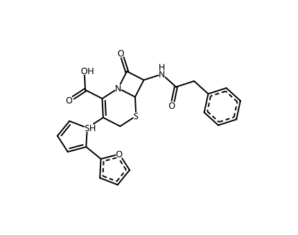 O=C(Cc1ccccc1)NC1C(=O)N2C(C(=O)O)=C([SH]3C=CC=C3c3ccco3)CSC12